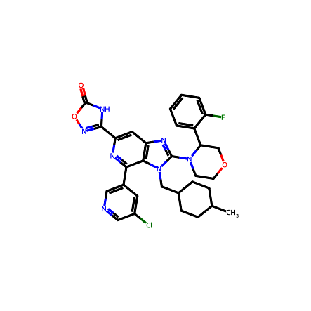 CC1CCC(Cn2c(N3CCOCC3c3ccccc3F)nc3cc(-c4noc(=O)[nH]4)nc(-c4cncc(Cl)c4)c32)CC1